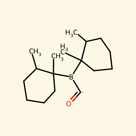 CC1CCCCC1(C)B([C]=O)C1(C)CCCCC1C